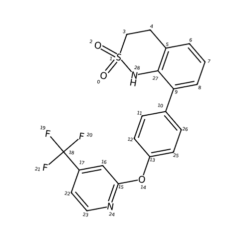 O=S1(=O)CCc2cccc(-c3ccc(Oc4cc(C(F)(F)F)ccn4)cc3)c2N1